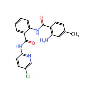 Cc1ccc(C(=O)Nc2ccccc2C(=O)Nc2ccc(Cl)cn2)c(N)c1